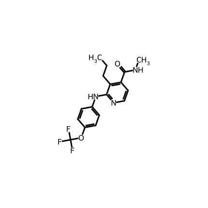 CCCc1c(C(=O)NC)ccnc1Nc1ccc(OC(F)(F)F)cc1